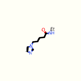 CCNC(=O)CCCCn1c[c]nc1